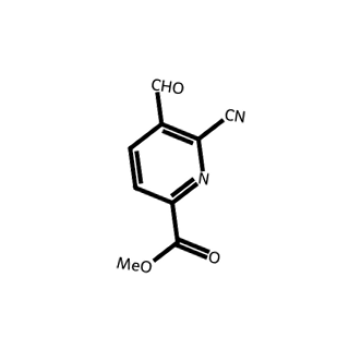 COC(=O)c1ccc(C=O)c(C#N)n1